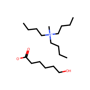 CCCC[N+](C)(CCCC)CCCC.O=C([O-])CCCCCO